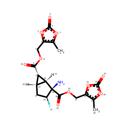 Cc1oc(=O)oc1COC(=O)[C@H]1[C@@H]2C[C@H](F)[C@@](N)(C(=O)OCc3oc(=O)oc3C)[C@@H]21